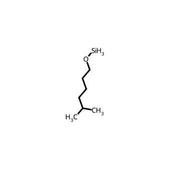 CC(C)CCCCO[SiH3]